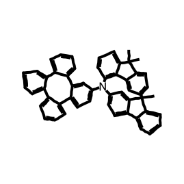 CC1(C)c2ccccc2-c2ccc(N(c3ccc4c(c3)-c3ccccc3-c3ccccc3-c3ccccc3-4)c3cccc4c3-c3ccccc3C4(C)C)cc21